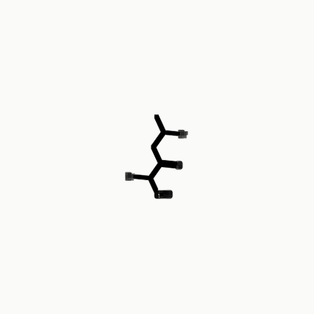 CC(Br)CC(=O)C(Br)C=O